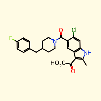 Cc1[nH]c2cc(Cl)c(C(=O)N3CCC(Cc4ccc(F)cc4)CC3)cc2c1C(=O)C(=O)O